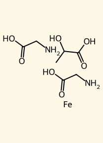 CC(O)C(=O)O.NCC(=O)O.NCC(=O)O.[Fe]